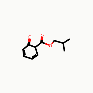 CC(C)COC(=O)C1C=CC=CC1=O